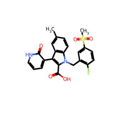 Cc1ccc2c(c1)c(-c1ccc[nH]c1=O)c(C(=O)O)n2Cc1cc(S(C)(=O)=O)ccc1F